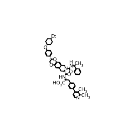 CCC1CCC(Oc2ccc([C@H]3COc4cc5c(cc4O3)CN(C(=O)N[C@H](C)c3ccccc3)[C@H](C(=O)N[C@@H](Cc3ccc(-c4ccnc(C)c4C)cc3)C(=O)O)C5)cc2)CC1